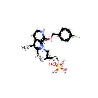 Cc1c(C)n(CC(C)C)c2c(OCc3ccc(F)cc3)nccc12.O=S(=O)(O)O